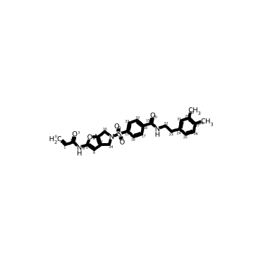 C=CC(=O)Nc1cc2c(o1)CN(S(=O)(=O)c1ccc(C(=O)NCCc3ccc(C)c(C)c3)cc1)C2